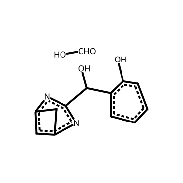 O=CO.Oc1ccccc1C(O)c1nc2cc(n1)C2